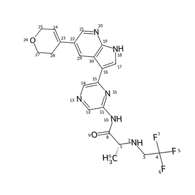 C[C@@H](NCC(F)(F)F)C(=O)Nc1cncc(-c2c[nH]c3ncc(C4=CCOCC4)cc23)n1